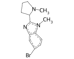 CN1CCCC1c1nc2cc(Br)ccc2n1C